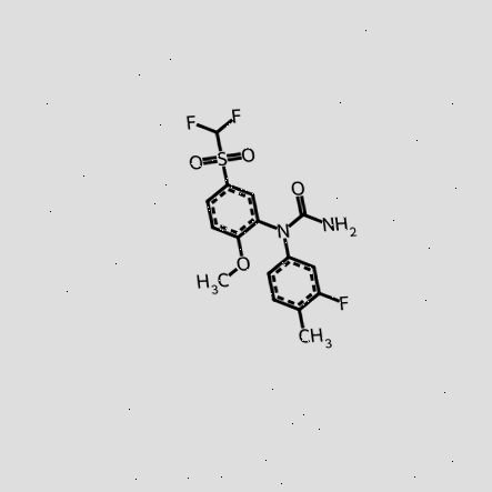 COc1ccc(S(=O)(=O)C(F)F)cc1N(C(N)=O)c1ccc(C)c(F)c1